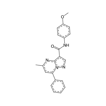 COc1ccc(NC(=O)c2cnn3c(-c4ccccc4)cc(C)nc23)cc1